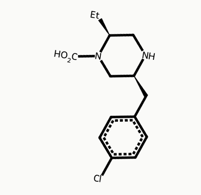 CC[C@H]1CN[C@@H](Cc2ccc(Cl)cc2)CN1C(=O)O